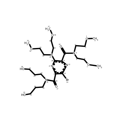 COCCN(CCOC)C(=O)c1nc(Br)c(C(=O)N(CCCO)CCCO)nc1N(CCOC)CCOC